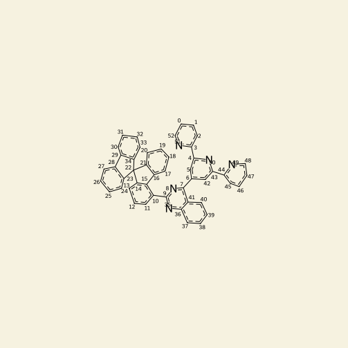 c1ccc(-c2cc(-c3nc(-c4cccc5c4-c4ccccc4C54c5ccccc5-c5ccccc54)nc4ccccc34)cc(-c3ccccn3)n2)nc1